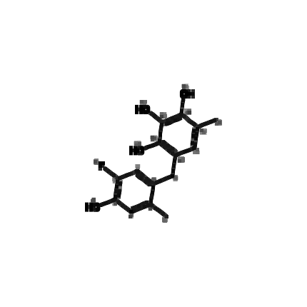 Cc1cc(O)c(F)cc1Cc1cc(C)c(O)c(O)c1O